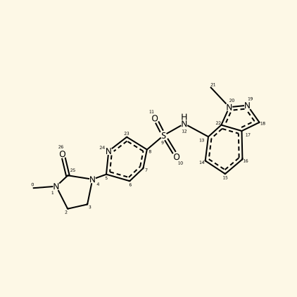 CN1CCN(c2ccc(S(=O)(=O)Nc3cccc4cnn(C)c34)cn2)C1=O